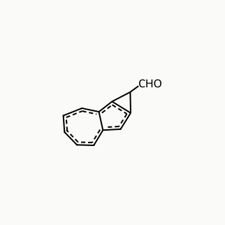 O=CC1c2cc3cccccc-3c21